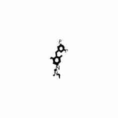 CCN(C)C=Nc1cc(C)c(Cc2cc(F)cc(F)c2)c(C)c1